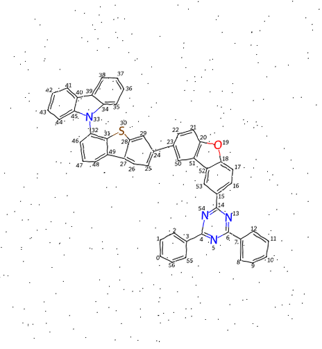 c1ccc(-c2nc(-c3ccccc3)nc(-c3ccc4oc5ccc(-c6ccc7c(c6)sc6c(-n8c9ccccc9c9ccccc98)cccc67)cc5c4c3)n2)cc1